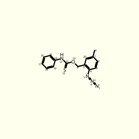 Cc1ccc(N=[N+]=[N-])c(COC(=S)Nc2ccccc2)c1